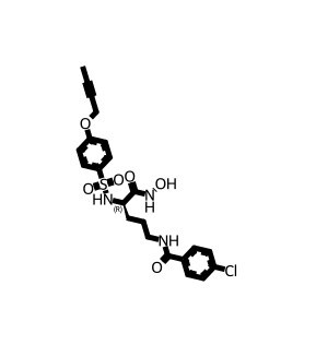 CC#CCOc1ccc(S(=O)(=O)N[C@H](CCCNC(=O)c2ccc(Cl)cc2)C(=O)NO)cc1